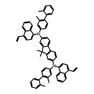 C=Cc1ccc(N(c2ccc(-c3ccccc3C)c(C)c2)c2ccc3c(c2)C(C)(C)c2cc(N(c4ccc(-c5ccccc5C)c(C)c4)c4ccc(C=C)c5ccccc45)ccc2-3)c2ccccc12